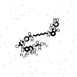 CNC(=O)COc1cc2cc(Nc3nc(N4CCC(C(=O)NCCCCCCCCNc5cccc6c5C(=O)N(C5CCC(=O)NC5=O)C6=O)CC4)ncc3Cl)cc(OC)c2n(C)c1=O